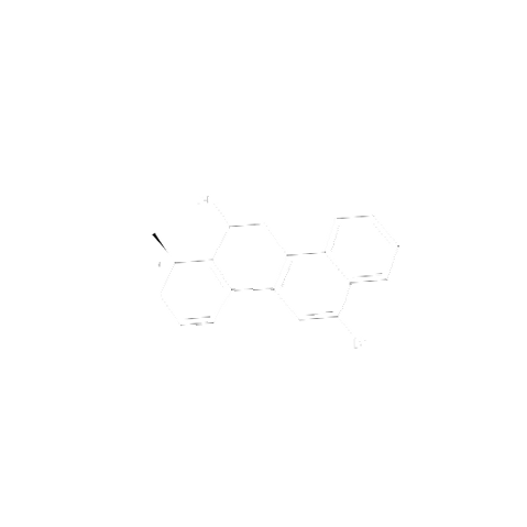 C[C@@H]1CC=CC2=C1C(Br)Cc1c2cc(Br)c2ccccc12